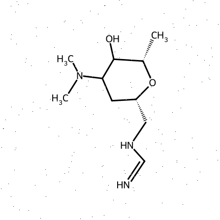 C[C@@H]1O[C@H](CNC=N)CC(N(C)C)C1O